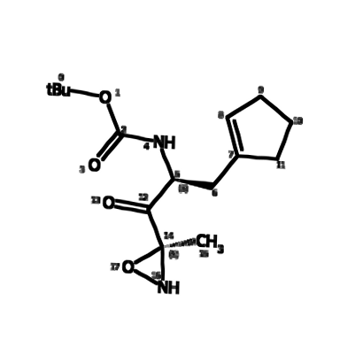 CC(C)(C)OC(=O)N[C@@H](CC1=CCCC1)C(=O)[C@@]1(C)NO1